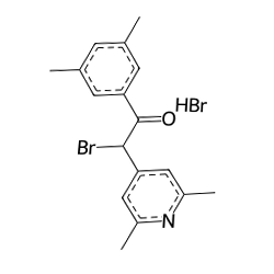 Br.Cc1cc(C)cc(C(=O)C(Br)c2cc(C)nc(C)c2)c1